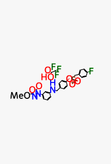 COc1nn(-c2cccc(NCc3ccc(OS(=O)(=O)Cc4ccc(F)cc4)cc3)c2)c(=O)o1.O=C(O)C(F)(F)F